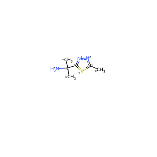 Cc1nnc(C(C)(C)N)s1